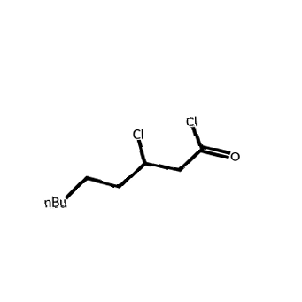 CCCCCCC(Cl)CC(=O)Cl